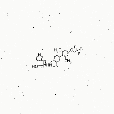 Cc1cc(OCC(F)(F)F)cc(C)c1-c1ccc2c(c1)CCN[C@@H]2CNc1cnccc1C(=O)O